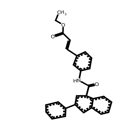 CCOC(=O)/C=C/c1cccc(NC(=O)c2cc(-c3ccccc3)cc3ccccc23)c1